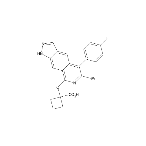 CC(C)c1nc(OC2(C(=O)O)CCC2)c2cc3[nH]ncc3cc2c1-c1ccc(F)cc1